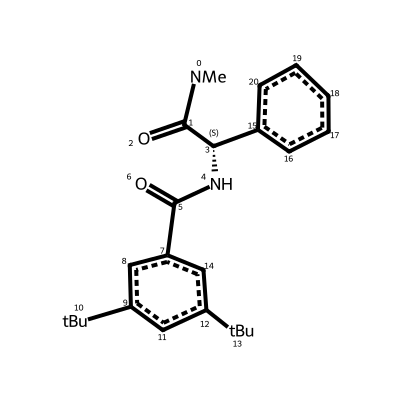 CNC(=O)[C@@H](NC(=O)c1cc(C(C)(C)C)cc(C(C)(C)C)c1)c1ccccc1